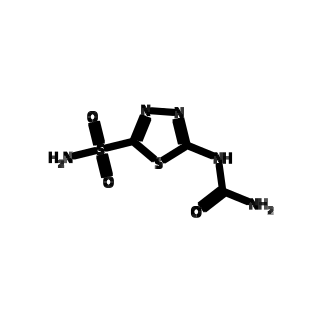 NC(=O)Nc1nnc(S(N)(=O)=O)s1